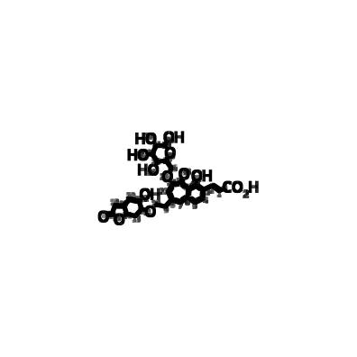 O=C(O)/C=C/c1ccc2cc(CCOC3CC4OC(=O)C=C4C=C3O)cc(OCC3OC(O)C(O)C(O)C3O)c(=O)c2c1O